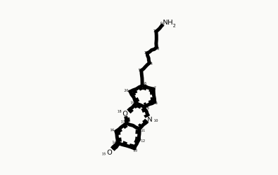 NCCCCCc1ccc2nc3ccc(=O)cc-3oc2c1